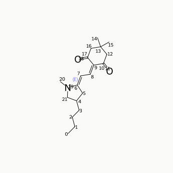 CCCCC1C/C(=C\C=C2C(=O)CC(C)(C)CC2=O)N(C)C1